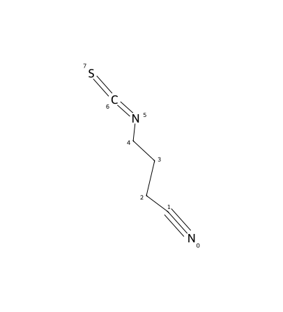 N#CCCCN=C=S